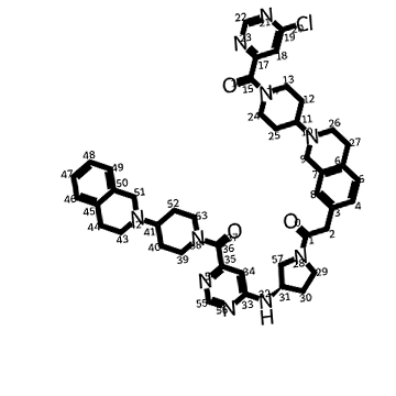 O=C(Cc1ccc2c(c1)CN(C1CCN(C(=O)c3cc(Cl)ncn3)CC1)CC2)N1CC[C@@H](Nc2cc(C(=O)N3CCC(N4CCc5ccccc5C4)CC3)ncn2)C1